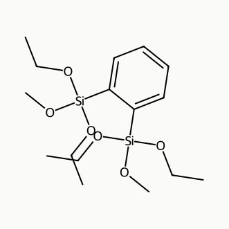 CCO[Si](OC)(OCC)c1ccccc1[Si](OC)(OCC)OCC